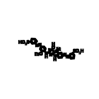 CCOc1cc(/N=N/c2cccc(S(=O)(=O)O)c2)ccc1Nc1nc(O)nc(Nc2ccc(/N=N/c3cccc(S(=O)(=O)O)c3)cc2OCC)n1